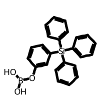 OB(O)Oc1cccc([Si](c2ccccc2)(c2ccccc2)c2ccccc2)c1